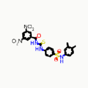 Cc1ccc(NS(=O)(=O)c2ccc(NC(=S)NC(=O)c3cc([N+](=O)[O-])cc([N+](=O)[O-])c3)cc2)cc1C